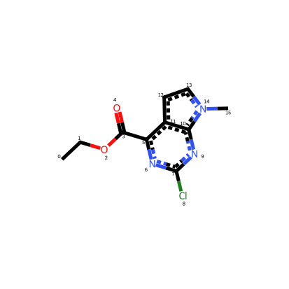 CCOC(=O)c1nc(Cl)nc2c1ccn2C